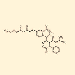 CCCOC(=O)CC(=O)C=Cc1ccc(C(SC)C(=O)C(C(=O)OC(C)C)=C(c2ccccc2)[N+](=O)[O-])c([N+](=O)[O-])c1